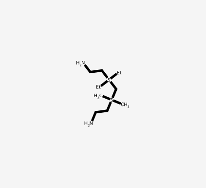 CCS(CC)(CCN)CS(C)(C)CCN